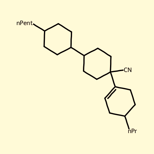 CCCCCC1CCC(C2CCC(C#N)(C3=CCC(CCC)CC3)CC2)CC1